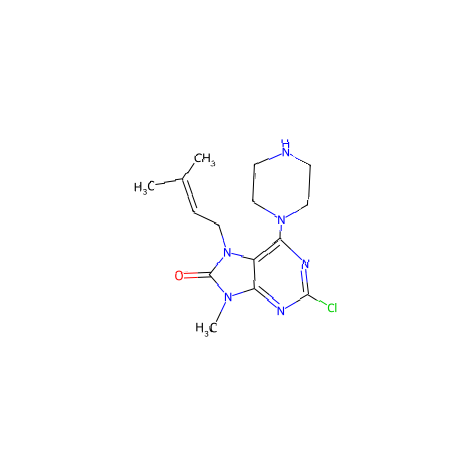 CC(C)=CCn1c(=O)n(C)c2nc(Cl)nc(N3CCNCC3)c21